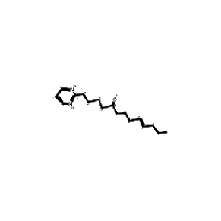 CCCC=CCCCC(=O)CCCCc1ncccn1